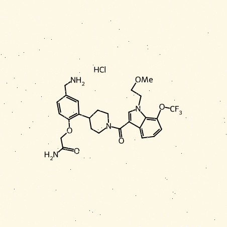 COCCn1cc(C(=O)N2CCC(c3cc(CN)ccc3OCC(N)=O)CC2)c2cccc(OC(F)(F)F)c21.Cl